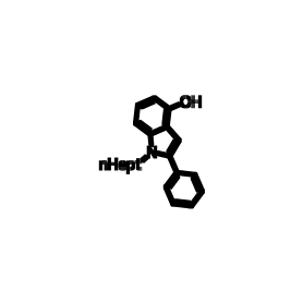 CCCCCCCn1c(-c2ccccc2)cc2c(O)cccc21